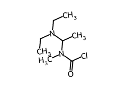 CCN(CC)C(C)N(C)C(=O)Cl